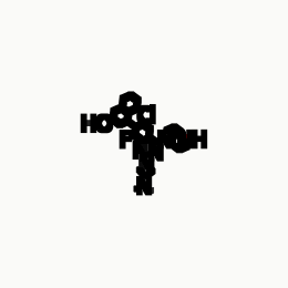 CN(C)C1CN(c2nc(N3C4CC5CC3CC(C4)N5)c3cc(Cl)c(-c4cc(O)cc5ccccc45)c(F)c3n2)C1